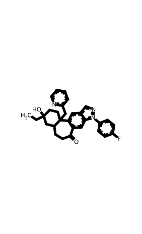 CCC1(O)CCC2(Cc3ccccn3)c3cc4cnn(-c5ccc(F)cc5)c4cc3C(=O)CCC2C1